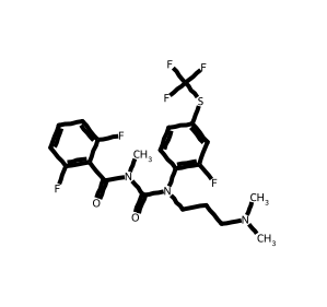 CN(C)CCCN(C(=O)N(C)C(=O)c1c(F)cccc1F)c1ccc(SC(F)(F)F)cc1F